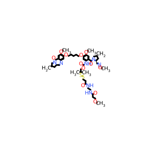 C=C1CC2C=Nc3cc(OCCCCCOc4cc(NC(=O)OCC(C)(C)SSCCC(=O)NCCNC(=O)CCOC)c(C(=O)N5CC(=C)C[C@H]5/C=N/OC)cc4OC)c(OC)cc3C(=O)N2C1